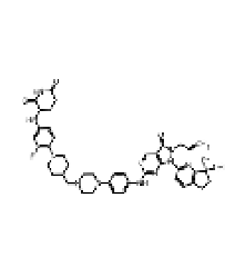 C=CCn1c(=O)c2cnc(Nc3ccc(N4CCN(CC5CCN(c6ccc(NC7CCC(=O)NC7=O)cc6F)CC5)CC4)cc3)nc2n1-c1ccc2c(n1)C(O)(CC)CC2